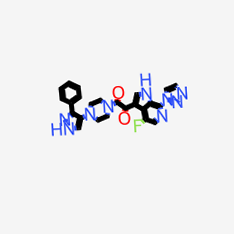 O=C(C(=O)N1CCN(c2c[nH]nc2-c2ccccc2)CC1)c1c[nH]c2c(-n3ccnn3)ncc(F)c12